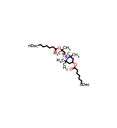 CCCCCCCCCCCCCCCC(=O)OC1CC(C)(C)N(OCC(C)(C)OC(=O)CCCCCCCCCCCCCCC)C(C)(C)C1